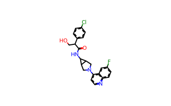 O=C(NC1C2CN(c3ccnc4ccc(F)cc34)CC21)C(CO)c1ccc(Cl)cc1